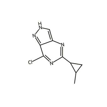 CC1CC1c1nc(Cl)c2n[nH]cc2n1